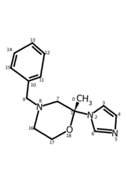 C[C@]1(n2ccnc2)CN(Cc2ccccc2)CCO1